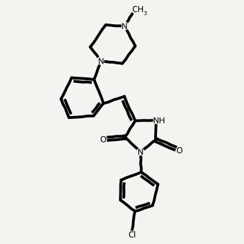 CN1CCN(c2ccccc2C=C2NC(=O)N(c3ccc(Cl)cc3)C2=O)CC1